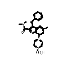 Cc1cc(N2CCN(C(=O)O)CC2)c2oc(C(=O)N(C)C)c(Cc3ccccc3)c2c1